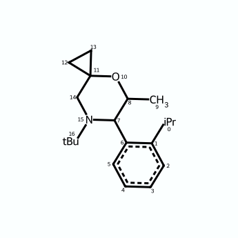 CC(C)c1ccccc1C1C(C)OC2(CC2)CN1C(C)(C)C